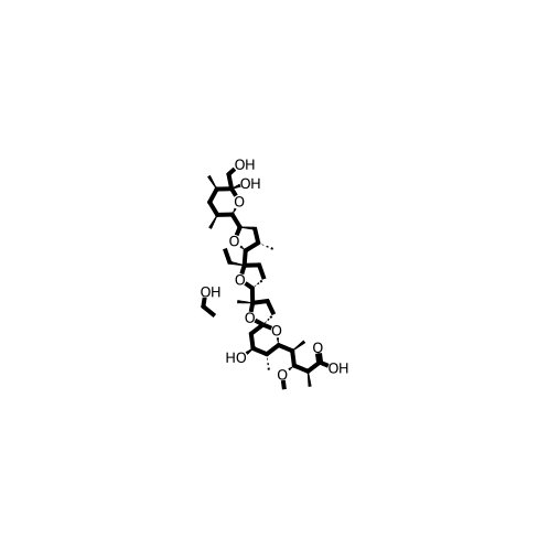 CCO.CC[C@@]1([C@@H]2O[C@@H]([C@H]3O[C@@](O)(CO)[C@H](C)C[C@@H]3C)C[C@@H]2C)CC[C@H]([C@]2(C)CC[C@]3(C[C@H](O)[C@@H](C)[C@@H]([C@@H](C)[C@@H](OC)[C@H](C)C(=O)O)O3)O2)O1